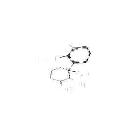 Cl.NC1(c2cccc(F)c2F)CCCC(O)C1O